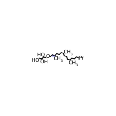 C/C(=C\COC[C@H](O)[C@H](O)CO)CCCC(C)CCCC(C)CCCC(C)C